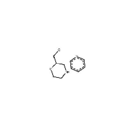 ClCC1CNCCO1.c1ccncc1